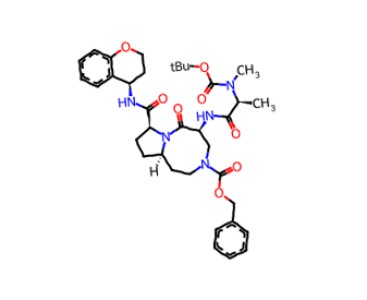 C[C@@H](C(=O)N[C@H]1CN(C(=O)OCc2ccccc2)CC[C@H]2CC[C@@H](C(=O)N[C@@H]3CCOc4ccccc43)N2C1=O)N(C)C(=O)OC(C)(C)C